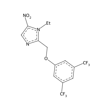 CCn1c([N+](=O)[O-])cnc1COc1cc(C(F)(F)F)cc(C(F)(F)F)c1